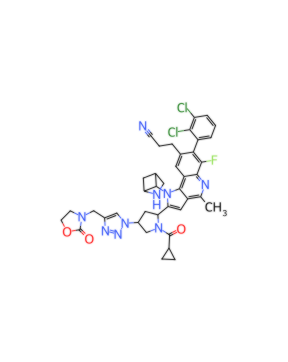 Cc1nc2c(F)c(-c3cccc(Cl)c3Cl)c(CCC#N)cc2c2c1cc(C1CC(n3cc(CN4CCOC4=O)nn3)CN1C(=O)C1CC1)n2C1C2CNC1C2